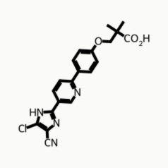 CC(C)(COc1ccc(-c2ccc(-c3nc(C#N)c(Cl)[nH]3)cn2)cc1)C(=O)O